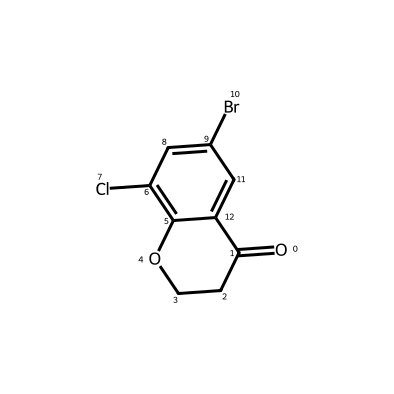 O=C1CCOc2c(Cl)cc(Br)cc21